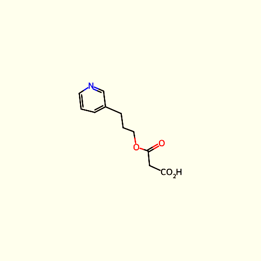 O=C(O)CC(=O)OCCCc1cccnc1